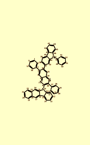 c1ccc(-c2cc3nc(-n4c5ccccc5c5cc6ccccc6cc54)c(-c4ccccc4)nc3cc2-c2ccc3c4ccccc4n(-c4ccccc4)c3c2)cc1